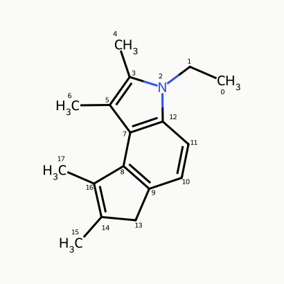 CCn1c(C)c(C)c2c3c(ccc21)CC(C)=C3C